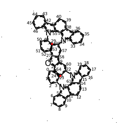 c1ccc(-n2c3ccccc3c3ccc4c5ccccc5n(-c5ccc6oc7ccc(-n8c9ccccc9c9ccc%10c%11ccccc%11n(-c%11ccccc%11)c%10c98)cc7c6c5)c4c32)cc1